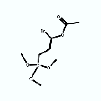 CO[Si](CCC(Br)OC(C)=O)(OC)OC